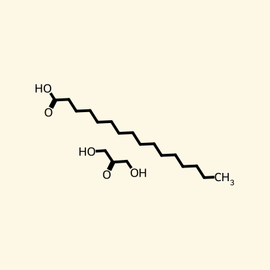 CCCCCCCCCCCCCCCC(=O)O.O=C(CO)CO